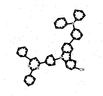 N#Cc1ccc2c(c1)c1cc(-c3cccc(N(c4ccccc4)c4ccccc4)c3)ccc1n2-c1ccc(-c2cc(-c3ccccc3)nc(-c3ccccc3)n2)cc1